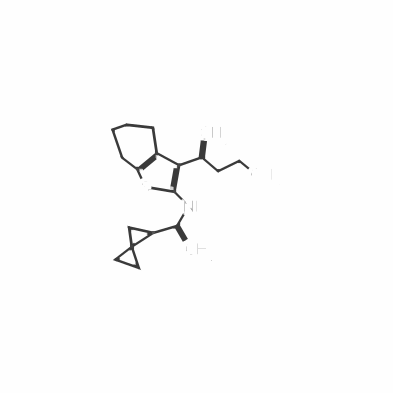 C=C(CCC)c1c(NC(=C)C2CC23CC3)sc2c1CCCC2